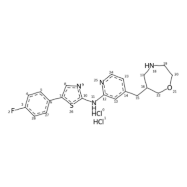 Cl.Cl.Fc1ccc(-c2cnc(Nc3cc(CC4CNCCOC4)ccn3)s2)cc1